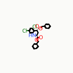 O=C(OCc1ccccc1)[C@@H]1C[C@@H](C(=O)OCc2ccccc2)c2c(Cl)cc(Cl)cc2N1